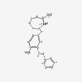 Nc1ccc(CC2CCCCC(C=O)N2)cc1OCc1ccccc1